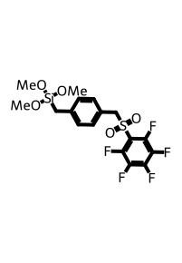 CO[Si](Cc1ccc(CS(=O)(=O)c2c(F)c(F)c(F)c(F)c2F)cc1)(OC)OC